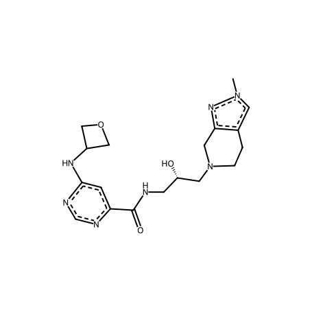 Cn1cc2c(n1)CN(C[C@@H](O)CNC(=O)c1cc(NC3COC3)ncn1)CC2